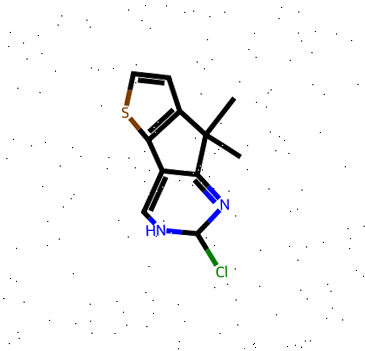 CC1(C)C2=NC(Cl)NC=C2c2sccc21